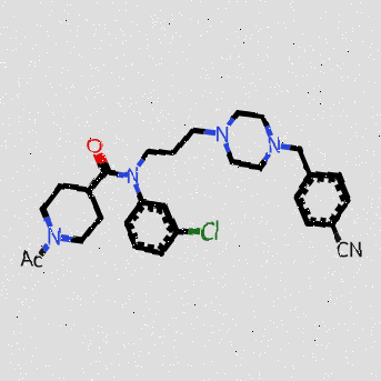 CC(=O)N1CCC(C(=O)N(CCCN2CCN(Cc3ccc(C#N)cc3)CC2)c2cccc(Cl)c2)CC1